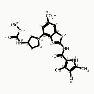 Cc1[nH]c(C(=O)Nc2nc3c(N4CCC(NC(=O)OC(C)(C)C)C4)cc(C(=O)O)cc3s2)c(Cl)c1Cl